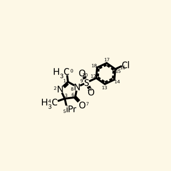 CC1=NC(C)(C(C)C)C(=O)N1S(=O)(=O)c1ccc(Cl)cc1